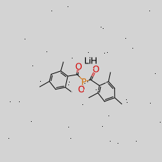 Cc1cc(C)c(C(=O)[P](=O)C(=O)c2c(C)cc(C)cc2C)c(C)c1.[LiH]